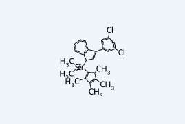 CC1=C(C)C(C)[C]([Zr]([CH]2C=C(c3cc(Cl)cc(Cl)c3)c3ccccc32)=[Si](C)C)=C1C